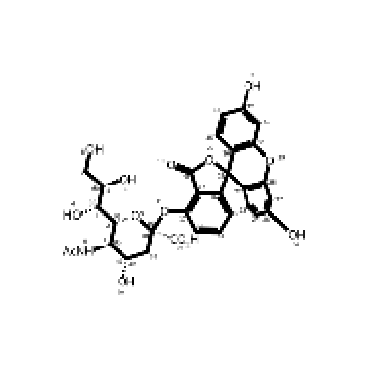 CC(=O)N[C@H]1[C@H]([C@H](O)[C@H](O)CO)O[C@](Oc2cccc3c2C(=O)OC32c3ccc(O)cc3Oc3cc(O)ccc32)(C(=O)O)C[C@@H]1O